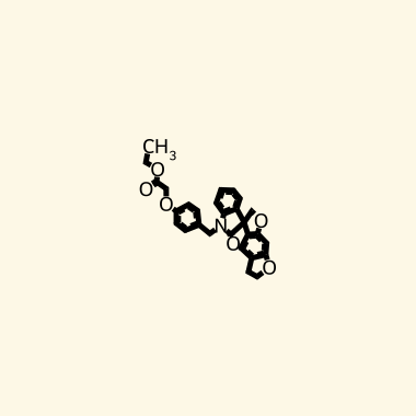 CCOC(=O)COc1ccc(CN2C(=O)C3(COc4cc5c(cc43)CCO5)c3ccccc32)cc1